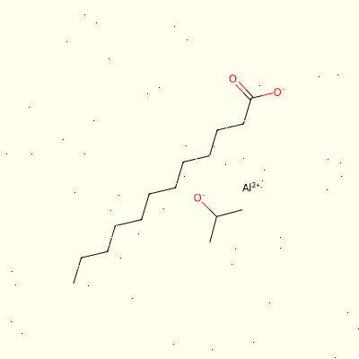 CC(C)[O-].CCCCCCCCCCCC(=O)[O-].[Al+2]